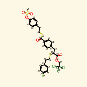 CS(=O)(=O)Oc1ccc(CCSC(=O)c2ccc(CC(SCCc3ccc(F)cc3)C(=O)OCC(Cl)(Cl)Cl)cc2)cc1